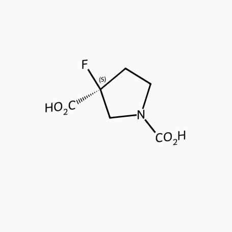 O=C(O)N1CC[C@@](F)(C(=O)O)C1